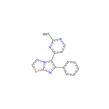 CSc1nccc(-c2c(-c3ccccc3)nc3sccn23)n1